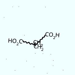 [CH2]C([CH2])(CCCCCCCCC(=O)O)CCCCCCCCC(=O)O